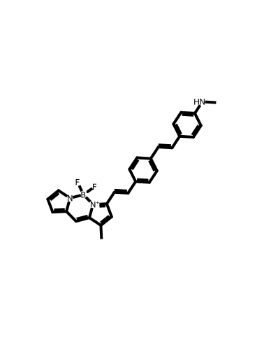 CNc1ccc(/C=C/c2ccc(/C=C/C3=[N+]4C(=Cc5cccn5[B-]4(F)F)C(C)=C3)cc2)cc1